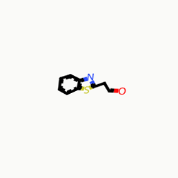 O=CCc1nc2ccccc2s1